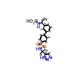 CC(C)C(NC(=O)O)c1cccc(-c2ccc(S(=O)(=O)NC(C)(C)c3cnn[nH]3)cc2)c1